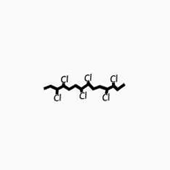 CCC(Cl)C(Cl)CCC(Cl)C(Cl)CCC(Cl)C(Cl)CC